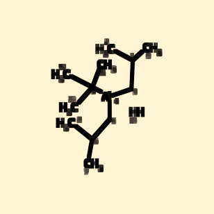 CC(C)[CH2][Al]([CH2]C(C)C)[C](C)(C)C.[HH]